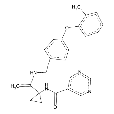 C=C(NCc1ccc(Oc2ccccc2C)cc1)C1(NC(=O)c2cncnc2)CC1